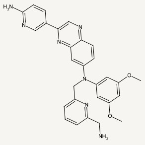 COc1cc(OC)cc(N(Cc2cccc(CN)n2)c2ccc3ncc(-c4ccc(N)nc4)nc3c2)c1